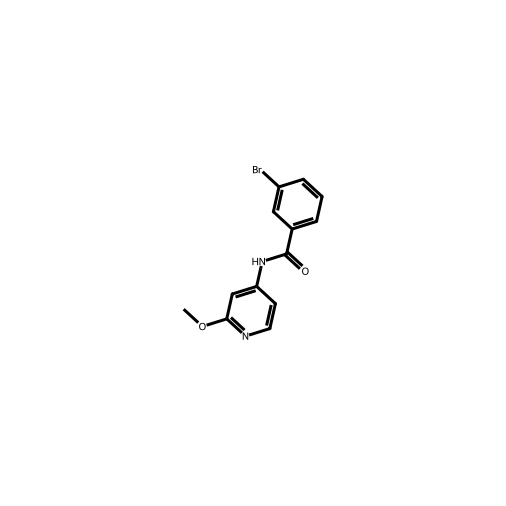 COc1cc(NC(=O)c2cccc(Br)c2)ccn1